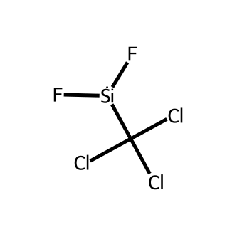 F[Si](F)C(Cl)(Cl)Cl